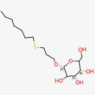 CCCCCCCSCCCO[C@@H]1OC(CO)[C@H](O)[C@H](O)C1O